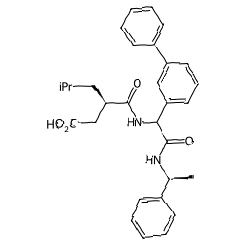 CC(C)C[C@H](CC(=O)O)C(=O)NC(C(=O)N[C@@H](C)c1ccccc1)c1cccc(-c2ccccc2)c1